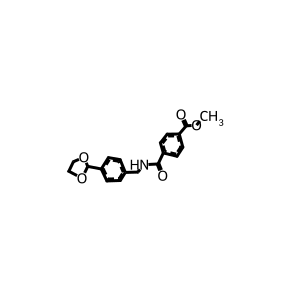 COC(=O)c1ccc(C(=O)NCc2ccc(C3OCCO3)cc2)cc1